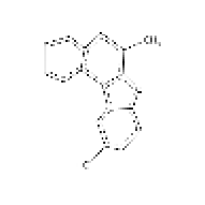 Cc1ccc2oc3c(C)cc4ccccc4c3c2c1